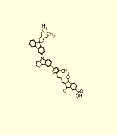 CCCCC1(CCCC)c2ccccc2-c2cc(N3c4ccc(-c5cc(C)c(/C=C/C=C6\C(=O)c7ccc(C(=O)O)cc7C6=O)s5)cc4C4CCCC43)ccc21